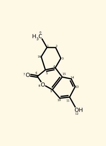 CC1CCc2c(c(=O)oc3cc(O)ccc23)C1